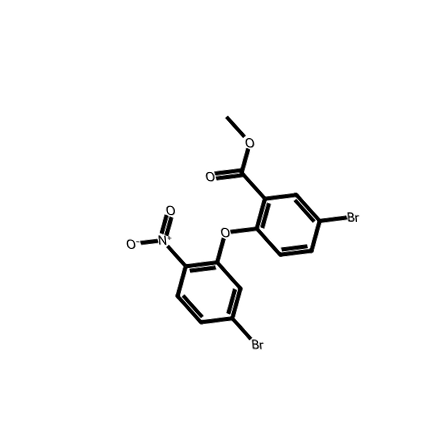 COC(=O)c1cc(Br)ccc1Oc1cc(Br)ccc1[N+](=O)[O-]